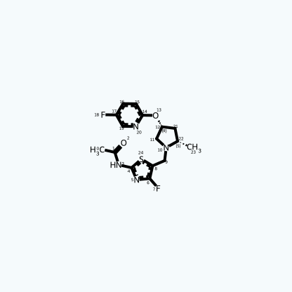 CC(=O)Nc1nc(F)c(CN2C[C@H](Oc3ccc(F)cn3)C[C@@H]2C)s1